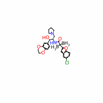 BC(B)(C(=O)N[C@H](CN1CCCC1)[C@H](O)c1ccc2c(c1)OCCO2)c1cc2cc(Cl)ccc2o1